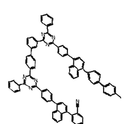 N#Cc1ccc(-c2ccc(-c3ccc(-c4ccc(-c5nc(-c6ccccc6)nc(-c6cccc(-c7ccc(-c8nc(-c9ccccc9)nc(-c9ccc(-c%10ccc(-c%11ccccc%11C#N)c%11ccccc%10%11)cc9)n8)cc7)c6)n5)cc4)c4ccccc34)cc2)cc1